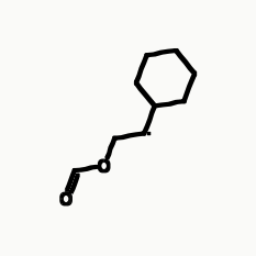 O=COC[CH]C1CCCCC1